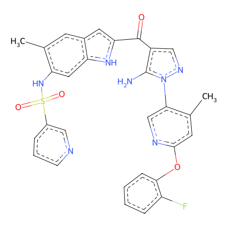 Cc1cc2cc(C(=O)c3cnn(-c4cnc(Oc5ccccc5F)cc4C)c3N)[nH]c2cc1NS(=O)(=O)c1cccnc1